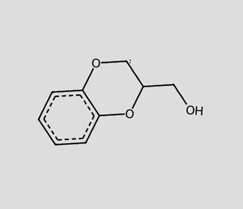 OCC1[C]Oc2ccccc2O1